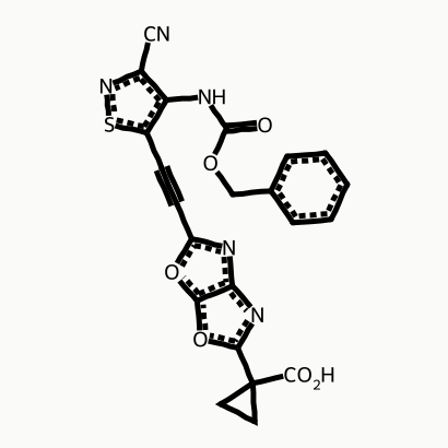 N#Cc1nsc(C#Cc2nc3nc(C4(C(=O)O)CC4)oc3o2)c1NC(=O)OCc1ccccc1